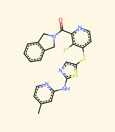 Cc1ccnc(Nc2ncc(Sc3ccnc(C(=O)N4Cc5ccccc5C4)c3F)s2)c1